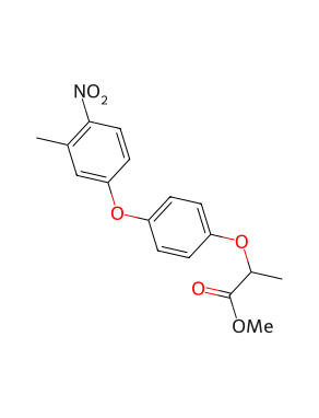 COC(=O)C(C)Oc1ccc(Oc2ccc([N+](=O)[O-])c(C)c2)cc1